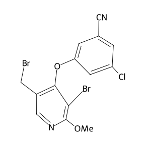 COc1ncc(CBr)c(Oc2cc(Cl)cc(C#N)c2)c1Br